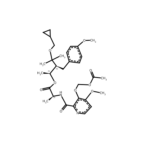 COc1ccc(C[C@@H]([C@H](C)OC(=O)[C@H](C)NC(=O)c2nccc(OC)c2OCOC(C)=O)C(C)(C)OCC2CC2)cc1